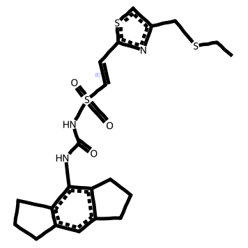 CCSCc1csc(/C=C/S(=O)(=O)NC(=O)Nc2c3c(cc4c2CCC4)CCC3)n1